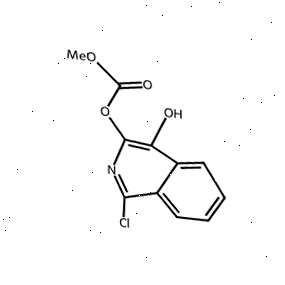 COC(=O)Oc1nc(Cl)c2ccccc2c1O